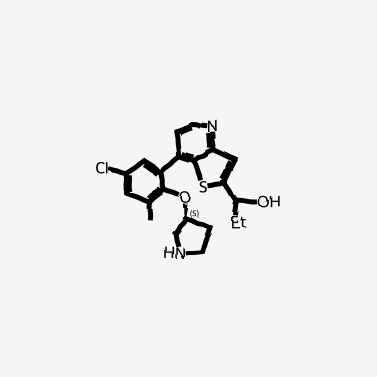 CCC(O)c1cc2nccc(-c3cc(Cl)cc(C)c3O[C@H]3CCNC3)c2s1